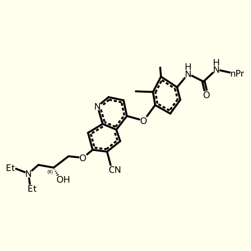 CCCNC(=O)Nc1ccc(Oc2ccnc3cc(OC[C@H](O)CN(CC)CC)c(C#N)cc23)c(C)c1C